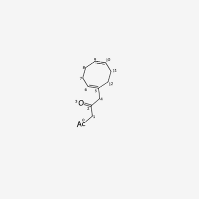 CC(=O)CC(=O)CC1=CCCC=CCC1